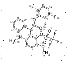 COc1ccc2c(c1OS(=O)(=O)C(F)(F)F)C(C(=O)Oc1c(F)ccc(F)c1F)c1ccccc1N2C